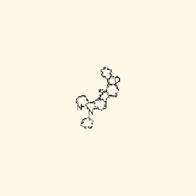 c1ccc(-n2c3ccc4c5ccc6oc7ccccc7c6c5sc4c3c3cccnc32)cc1